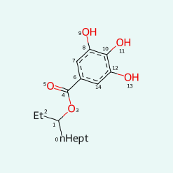 CCCCCCCC(CC)OC(=O)c1cc(O)c(O)c(O)c1